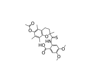 COc1cc(NC(=S)C2(C)CCc3c(C)c(OC(C)=O)c(C)c(C)c3O2)c(C(=O)O)cc1OC